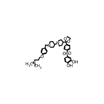 CN(C)CCCOc1ccc(CN2CCC(N3CCC(C4(c5ccc(S(=O)(=O)c6ccc(O)c(O)c6)cc5)OCCO4)CC3)CC2)cc1